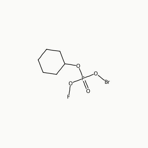 O=P(OF)(OBr)OC1CCCCC1